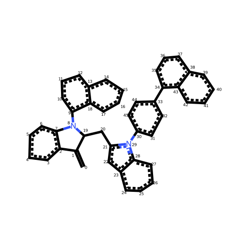 C=C1c2ccccc2N(c2cccc3ccccc23)C1Cc1cc2ccccc2n1-c1ccc(-c2cccc3ccccc23)cc1